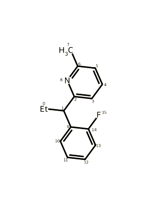 CCC(c1cccc(C)n1)c1ccccc1F